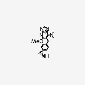 COc1nc2ncnn2c(N(C)C)c1Cc1ccc([S@](C)=N)cc1